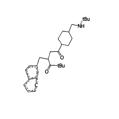 CC(C)(C)NCC1CCC(C(=O)CC(Cc2ccc3ccccc3c2)C(=O)C(C)(C)C)CC1